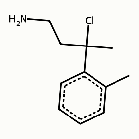 Cc1ccccc1C(C)(Cl)CCN